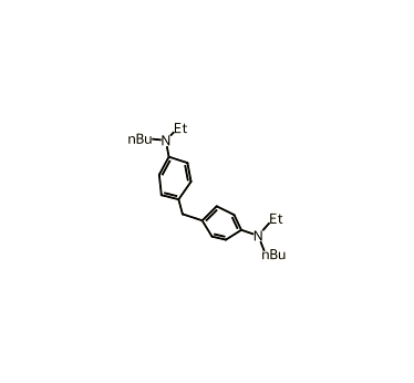 CCCCN(CC)c1ccc(Cc2ccc(N(CC)CCCC)cc2)cc1